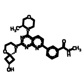 CNC(=O)c1cccc(-c2ccc3c(N4CCOC[C@@H]4C)nc(N4CCO[C@]5(C4)C[C@@H](O)C5)nc3n2)c1